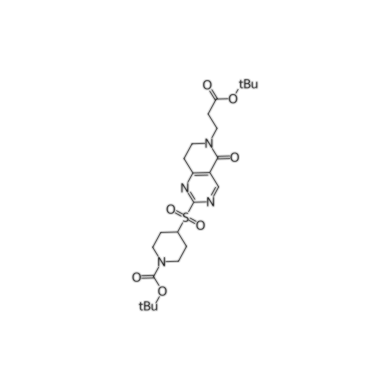 CC(C)(C)OC(=O)CCN1CCc2nc(S(=O)(=O)C3CCN(C(=O)OC(C)(C)C)CC3)ncc2C1=O